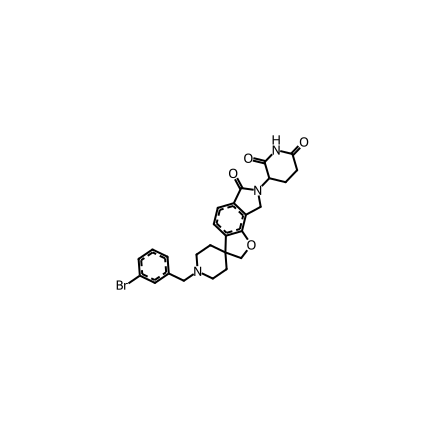 O=C1CCC(N2Cc3c(ccc4c3OCC43CCN(Cc4cccc(Br)c4)CC3)C2=O)C(=O)N1